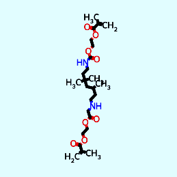 C=C(C)C(=O)OCCOC(=O)CNCCC(C)CC(C)(C)CCNC(=O)OCCOC(=O)C(=C)C